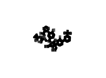 CC(C)(C)C[C@]1(c2ccc(-c3cccc(S(C)(=O)=O)c3)c(F)c2)NC(=N)N([C@H](COC(=O)NC2(C(F)(F)F)CC2)c2ccc(Cl)c(-n3ncnc3C(F)F)c2)C1=O